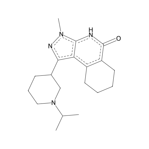 CC(C)N1CCCC(c2nn(C)c3[nH]c(=O)c4c(c23)CCCC4)C1